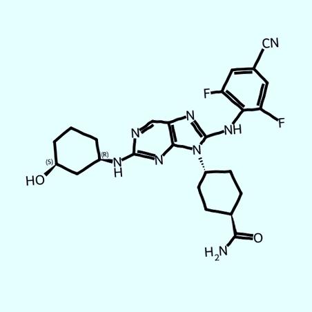 N#Cc1cc(F)c(Nc2nc3cnc(N[C@@H]4CCC[C@H](O)C4)nc3n2[C@H]2CC[C@H](C(N)=O)CC2)c(F)c1